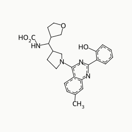 Cc1ccc2c(N3CCC(C(NC(=O)O)C4CCOC4)C3)nc(-c3ccccc3O)nc2c1